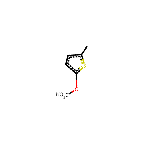 Cc1ccc(OC(=O)O)s1